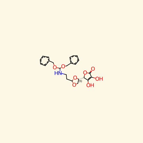 O=C1OC([C@@H]2COC(CCNC(OCc3ccccc3)OCc3ccccc3)O2)C(O)=C1O